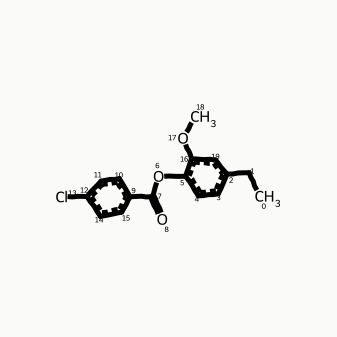 CCc1ccc(OC(=O)c2ccc(Cl)cc2)c(OC)c1